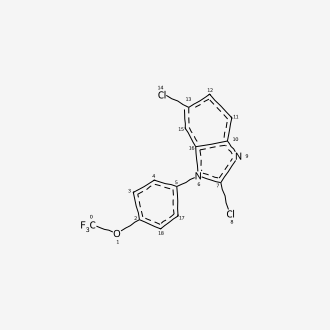 FC(F)(F)Oc1ccc(-n2c(Cl)nc3ccc(Cl)cc32)cc1